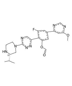 COc1cc(-c2cc(F)c(-c3cnc(N4CCN[C@@H](C(C)C)C4)nn3)c(OC=O)c2)ncn1